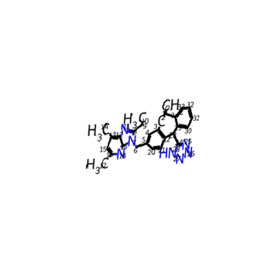 C=C1Cc2cc(Cn3c(CC)nc4c(C)cc(C)nc43)ccc2C(c2nnn[nH]2)c2ccccc21